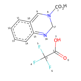 O=C(O)C(F)(F)F.O=C(O)N1C=c2ccccc2=NC1